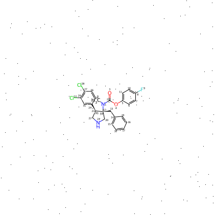 CN(C(=O)Oc1ccc(F)cc1)[C@]1(Cc2ccccc2)CNC[C@H]1c1ccc(Cl)c(Cl)c1